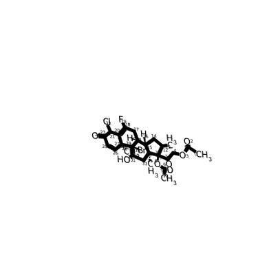 CC(=O)OCC(=O)[C@@]1(OC(C)=O)C(C)C[C@H]2[C@@H]3CC(F)=C4C(Cl)C(=O)C=C[C@]4(C)[C@@]3(Br)C(O)C[C@@]21C